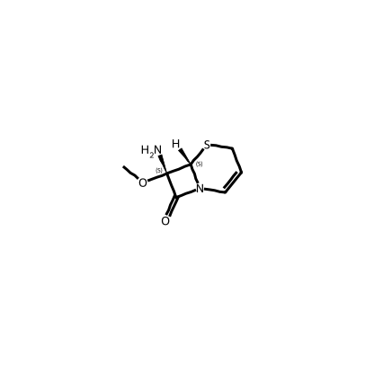 CO[C@@]1(N)C(=O)N2C=CCS[C@H]21